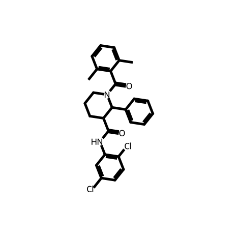 Cc1cccc(C)c1C(=O)N1CCCC(C(=O)Nc2cc(Cl)ccc2Cl)C1c1ccccc1